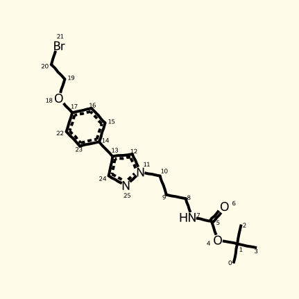 CC(C)(C)OC(=O)NCCCn1cc(-c2ccc(OCCBr)cc2)cn1